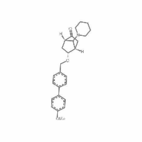 COc1ccc(-c2ccc(CO[C@@H]3C[C@@H]4C(=O)C[C@H]3C4N3CCCCC3)cc2)cc1